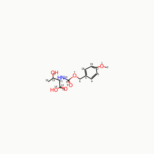 COc1ccc(COC(=O)NC(C(=O)O)C(C)O)cc1